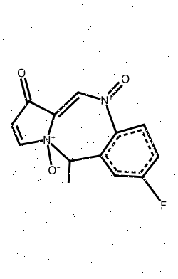 CC1c2cc(F)ccc2[N+](=O)C=C2C(=O)C=C[N+]21[O-]